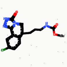 CC(C)(C)OC(=O)NCCCc1cn2c(=O)[nH]nc2c2cc(Cl)ccc12